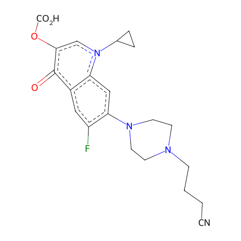 N#CCCCN1CCN(c2cc3c(cc2F)c(=O)c(OC(=O)O)cn3C2CC2)CC1